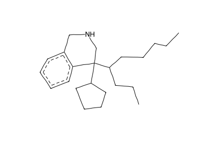 CCCCCC(CCC)C1(C2CCCC2)CNCc2ccccc21